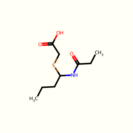 CCCC(NC(=O)CC)SCC(=O)O